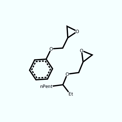 CCCCCC(CC)OCC1CO1.c1ccc(OCC2CO2)cc1